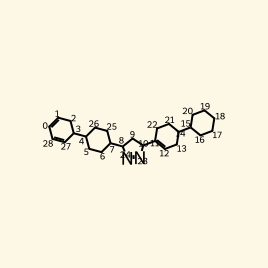 C1=CCC(C2CCC(C3CC(C4=CCC(C5CCCCC5)CC4)N=N3)CC2)C=C1